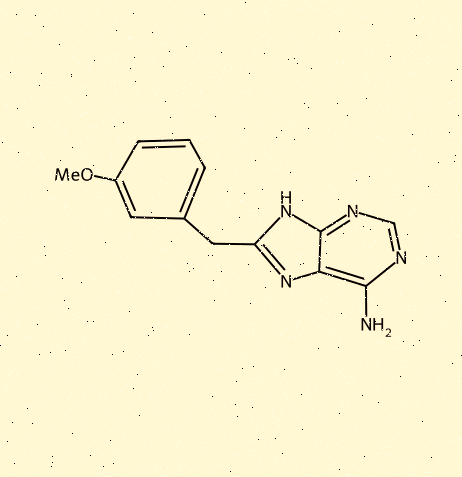 COc1cccc(Cc2nc3c(N)ncnc3[nH]2)c1